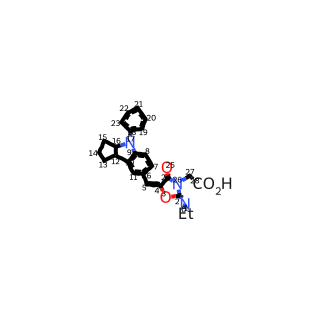 CC/N=C1\O/C(=C/c2ccc3c(c2)C2CCCC2N3c2ccccc2)C(=O)N1CC(=O)O